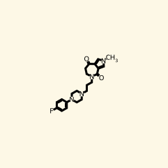 Cn1cc2c(c1)C(=O)N(CCCN1CCN(c3ccc(F)cc3)CC1)CCC2=O